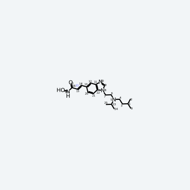 CC(C)CCN(CCn1cnc2cc(/C=C/C(=O)NO)ccc21)C(C)C